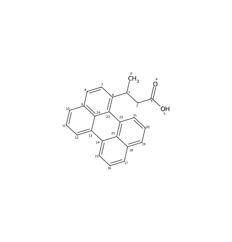 CC(CC(=O)O)c1ccc2cccc3c4cccc5cccc(c1c23)c54